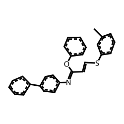 Cc1cccc(SC=CC(=Nc2ccc(-c3ccccc3)cc2)Oc2ccccc2)c1